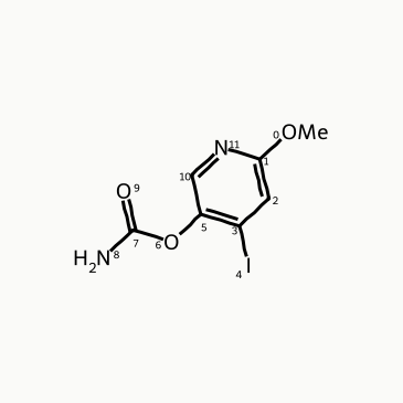 COc1cc(I)c(OC(N)=O)cn1